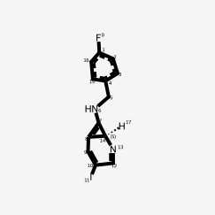 Fc1ccc(CNC2=C3C=C(I)C=N[C@@H]32)cc1